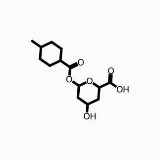 CC1CCC(C(=O)OC2CC(O)CC(C(=O)O)O2)CC1